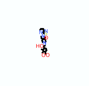 Cc1c([C@@H](O)CN2CCC3(CC2)CCN(c2snc4cccnc24)C3=O)ccc2c1COC2=O